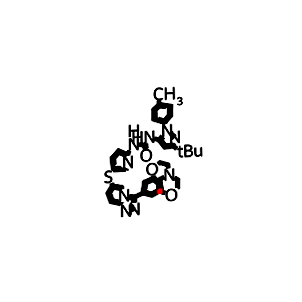 Cc1ccc(-n2nc(C(C)(C)C)cc2NC(=O)Nc2ccc(Sc3ccc4nnc(-c5cccc(OCCN6CCOCC6)c5)n4c3)cn2)cc1